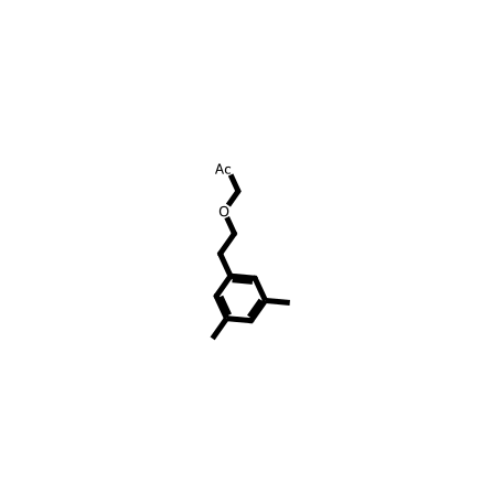 CC(=O)COCCc1cc(C)cc(C)c1